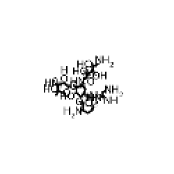 CN[C@@H]1C(O)[C@@H](OC2C(O)C(O[C@H]3O[C@H](CNC(=N)CN)CCC3N)[C@@H](N=N)C[C@H]2NC(=O)[C@@H](O)[C@@H](O)[C@@H](O)CN)OCC1(C)O